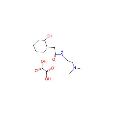 CN(C)CCNC(=O)CC1CCCCC1O.O=C(O)C(=O)O